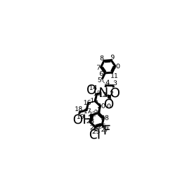 O=C1OC[C@@H](Cc2ccccc2)N1C(=O)[C@H](CCCO)Cc1ccc(Cl)c(F)c1